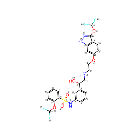 O=S(=O)(Nc1cccc(C(O)CNCCOc2ccc3c(OC(F)F)n[nH]c3c2)c1)c1ccccc1OC(F)F